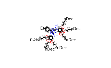 CCCCCCCCCCCCCCOc1cc(Nc2nc(Nc3cc(OCCCCCCCCCCCCCC)c(OCCCCCCCCCCCCCC)c(OCCCCCCCCCCCCCC)c3)nc(-c3ccc(CC)cc3)n2)cc(OCCCCCCCCCCCCCC)c1OCCCCCCCCCCCCCC